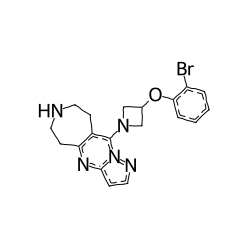 Brc1ccccc1OC1CN(c2c3c(nc4ccnn24)CCNCC3)C1